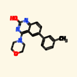 Cc1cccc(-c2ccc3nc(O)nc(N4CCOCC4)c3c2)c1